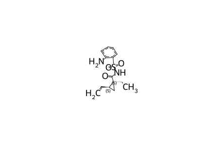 C=C[C@@H]1C[C@]1(CC)C(=O)NS(=O)(=O)c1ccccc1N